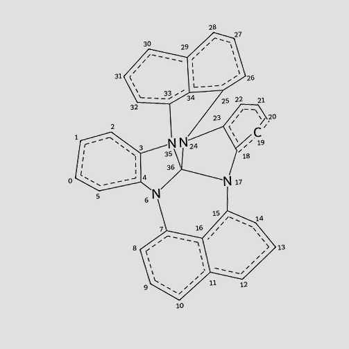 c1ccc2c(c1)N1c3cccc4cccc(c34)N3c4ccccc4N4c5cccc6cccc(c56)N2C134